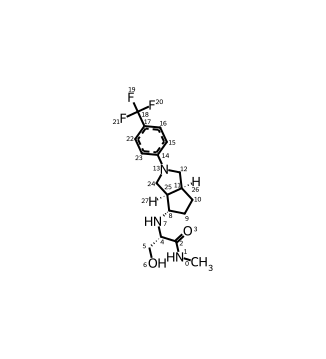 CNC(=O)[C@H](CO)N[C@H]1CC[C@@H]2CN(c3ccc(C(F)(F)F)cc3)C[C@@H]21